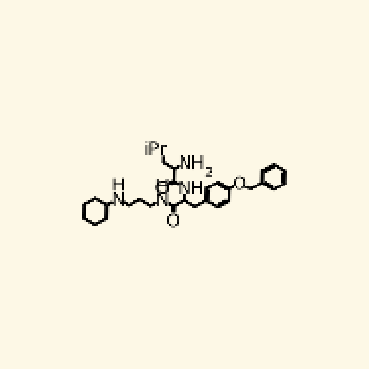 CC(C)CC(N)C(=O)NC(Cc1ccc(OCc2ccccc2)cc1)C(=O)NCCCNC1CCCCC1